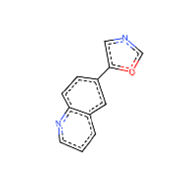 c1cnc2ccc(-c3cnco3)cc2c1